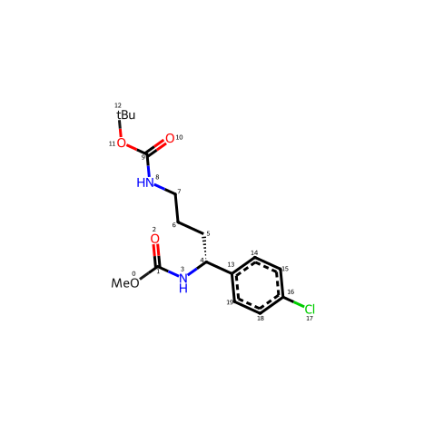 COC(=O)N[C@H](CCCNC(=O)OC(C)(C)C)c1ccc(Cl)cc1